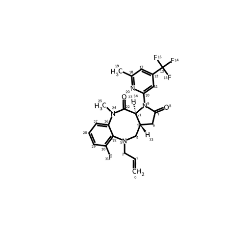 C=CCN1C[C@H]2CC(=O)N(c3cc(C(F)(F)F)cc(C)n3)[C@@H]2C(=O)N(C)c2cccc(F)c21